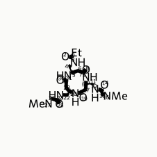 CCC(=O)NC[C@H]1CC(=O)N[C@@H](CNC(=O)CNC)CC(=O)N[C@@H](CNC(=O)CNC)CC(=O)N1